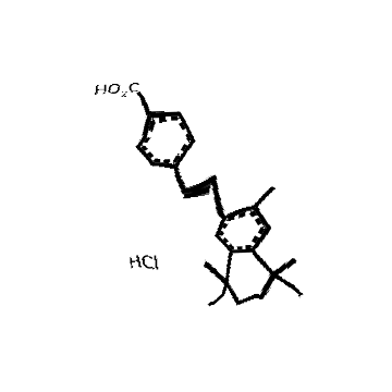 Cc1cc2c(cc1C=Cc1ccc(C(=O)O)cc1)C(C)(C)CCC2(C)C.Cl